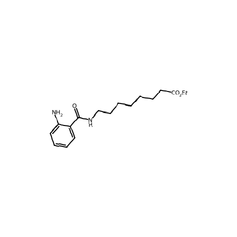 CCOC(=O)CCCCCCCNC(=O)c1ccccc1N